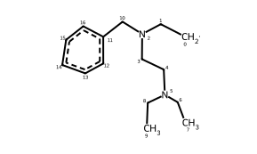 [CH2]CN(CCN(CC)CC)Cc1ccccc1